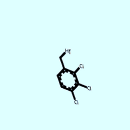 Clc1ccc([CH2][Hf])c(Cl)c1Cl